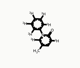 [2H]c1c([2H])c([2H])c(-n2c([2H])c(C)cc([2H])c2=O)c([2H])c1[2H]